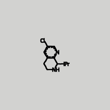 CC(C)C1NCCc2cc(Cl)cnc21